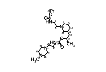 CC(C)OC(=O)NCCN1CCCC(CC(C)OC(=O)NCCN2CCN(C)CC2)C1